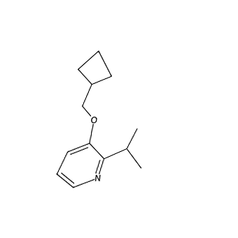 CC(C)c1ncccc1OCC1CCC1